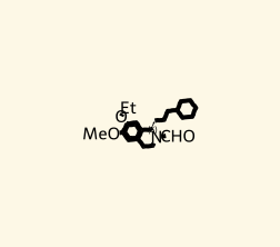 CCOc1cc2c(cc1OC)CCN(C=O)[C@H]2CCCC1CCCCC1